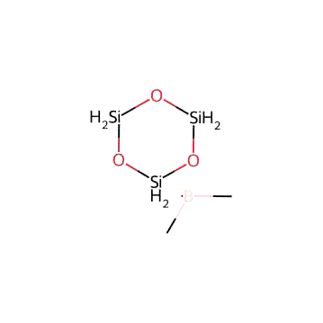 C[B]C.O1[SiH2]O[SiH2]O[SiH2]1